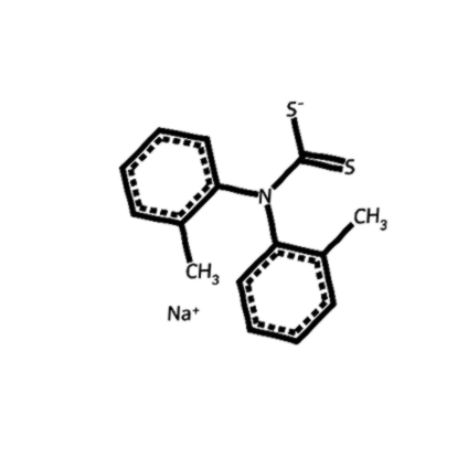 Cc1ccccc1N(C(=S)[S-])c1ccccc1C.[Na+]